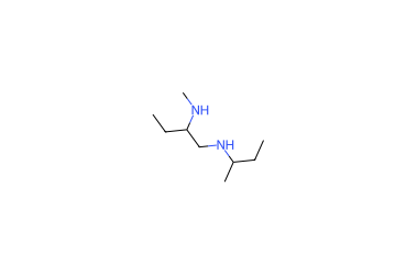 CCC(C)NCC(CC)NC